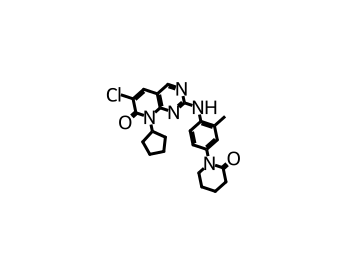 Cc1cc(N2CCCCC2=O)ccc1Nc1ncc2cc(Cl)c(=O)n(C3CCCC3)c2n1